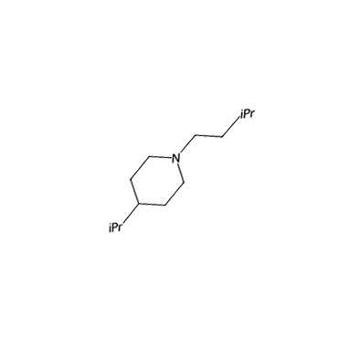 CC(C)CCN1CCC(C(C)C)CC1